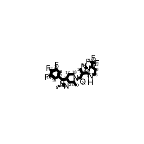 CC1c2nn(C)c(-c3cc(F)c(F)c(F)c3)c2CCN1C(=O)c1cnn2c1NCCC2C(F)(F)F